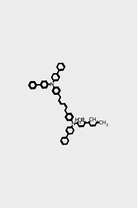 C=C/C=C\C(=C)C(=C)/C=C\C(=C)N(C1=CC=C(C2=CC=CCC2)CC1)c1ccc(C/C=C\C=C/Cc2ccc(N(C3=CC=C(C4=CC=CCC4)CC3)c3ccc(-c4ccccc4)cc3)cc2)cc1